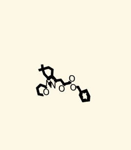 CC1(C)CCc2c(CC(=O)C(=O)OCc3ccccc3)nn(C3CCCCO3)c2C1